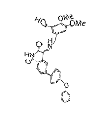 COc1cc(CN/C=C2\C(=O)NC(=O)c3ccc(-c4ccc(Oc5ccccc5)cc4)cc32)cc(O)c1OC